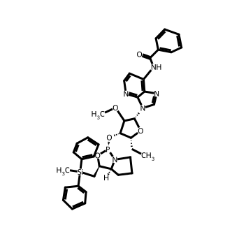 CC[C@H]1O[C@@H](n2cnc3c(NC(=O)c4ccccc4)ccnc32)C(OC)[C@H]1O[P@@]1O[C@H](C[Si](C)(c2ccccc2)c2ccccc2)[C@@H]2CCCN21